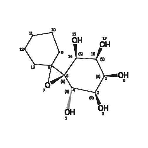 O[C@H]1[C@@H](O)[C@H](O)[C@@]2(OC23CCCCC3)[C@@H](O)[C@H]1O